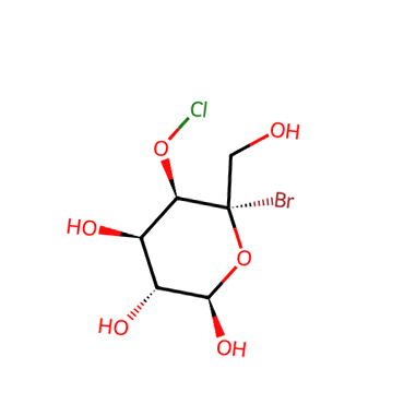 OC[C@@]1(Br)O[C@@H](O)[C@H](O)[C@@H](O)[C@H]1OCl